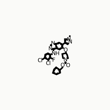 Cn1cc(-c2cc3ncnc(Nc4ccc(Cl)c(Cl)c4F)c3cc2OC2CCN(C(=O)OCc3ccccc3)CC2)cn1